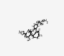 CSc1nc(O)nc(-c2ccc(S(N)(=O)=O)cc2)c1-c1ccccc1